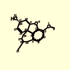 COc1ccc2c3c1OC1C[C@@H](O)C=CC31CCC(C)C2